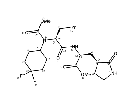 COC(=O)[C@H](C[C@@H]1CCNC1=O)NC(=O)[C@H](CC(C)C)N(C(=O)OC)C1CCC(F)(F)CC1